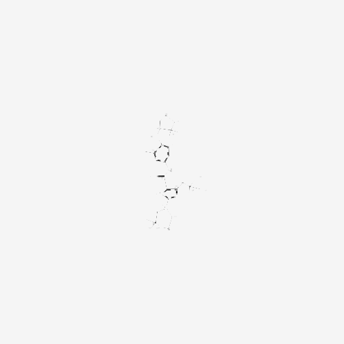 CC1(C)CN(c2nc(C(=O)Nc3ccc(OC4CCCC4(F)F)c(F)c3)c(CC(F)(F)F)o2)CCO1